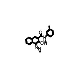 CN=Nc1c(O)c(C(=O)Nc2cccc(C)c2)cc2ccccc12